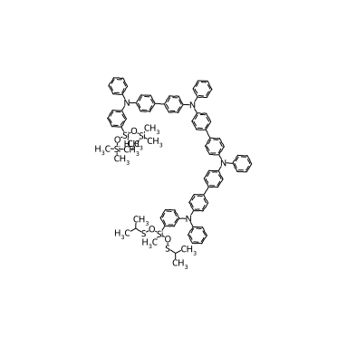 CC(C)SO[Si](C)(OSC(C)C)c1cccc(N(c2ccccc2)c2ccc(-c3ccc(N(c4ccccc4)c4ccc(-c5ccc(N(c6ccccc6)c6ccc(-c7ccc(N(c8ccccc8)c8cccc([Si](C)(O[Si](C)(C)C)O[Si](C)(C)C)c8)cc7)cc6)cc5)cc4)cc3)cc2)c1